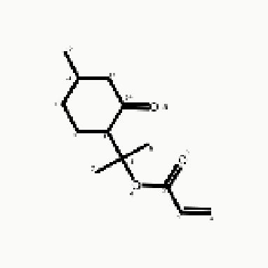 C=CC(=O)OC(C)(C)C1CCC(C)CC1=O